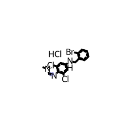 CN(C)/C=N\c1c(Cl)cc(NCc2ccccc2Br)cc1Cl.Cl